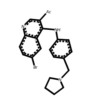 CC(=O)c1cnc2ccc(Br)cc2c1Nc1ccc(CN2CCCC2)cc1